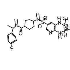 [2H]C1([2H])Nc2cc(S(=O)(=O)NC3CCC(C(=O)NC(C)c4ccc(F)cc4)CC3)cnc2NC1([2H])[2H]